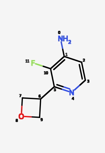 Nc1ccnc(C2COC2)c1F